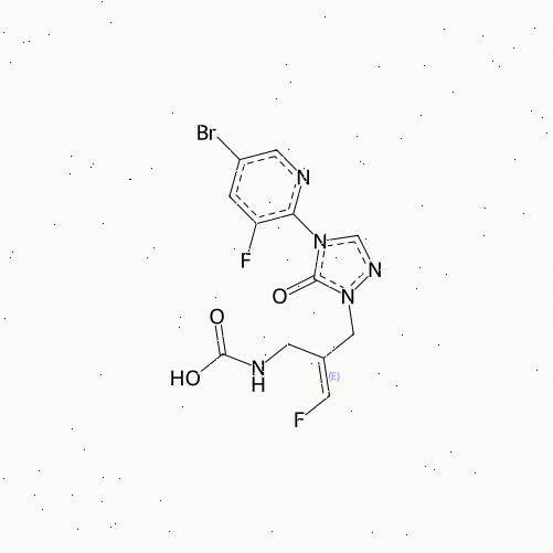 O=C(O)NC/C(=C\F)Cn1ncn(-c2ncc(Br)cc2F)c1=O